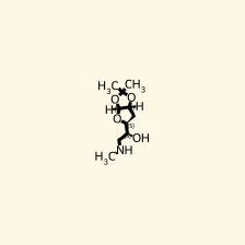 CNC[C@H](O)[C@@H]1C[C@H]2OC(C)(C)O[C@H]2O1